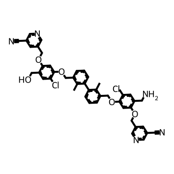 Cc1c(COc2cc(OCc3cncc(C#N)c3)c(CN)cc2Cl)cccc1-c1cccc(COc2cc(OCc3cncc(C#N)c3)c(CO)cc2Cl)c1C